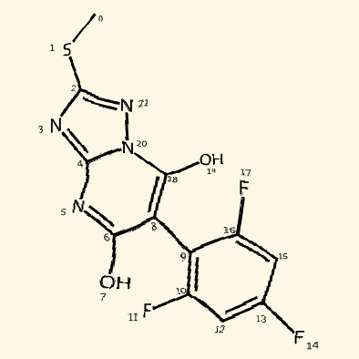 CSc1nc2nc(O)c(-c3c(F)cc(F)cc3F)c(O)n2n1